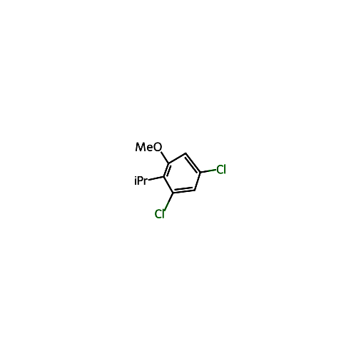 COc1cc(Cl)cc(Cl)c1C(C)C